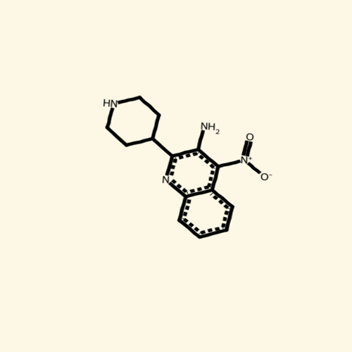 Nc1c(C2CCNCC2)nc2ccccc2c1[N+](=O)[O-]